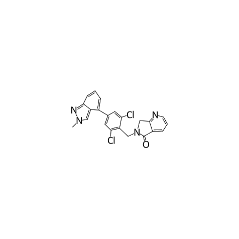 Cn1cc2c(-c3cc(Cl)c(CN4Cc5ncccc5C4=O)c(Cl)c3)cccc2n1